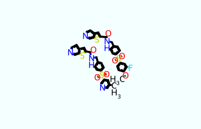 COc1ccc(S(=O)(=O)c2ccc(CNC(=O)c3cc4ccncc4s3)cc2)cc1F.Cc1cncc(S(=O)(=O)c2ccc(CNC(=O)c3cc4ccncc4s3)cc2)c1